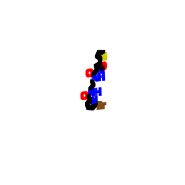 O=C(NCCCNC(=O)c1cccc(Br)n1)c1cc(-c2cccs2)on1